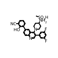 CS(=O)(=O)O.N#Cc1cccc(-c2ccc3ncc(-c4cc(F)cc(F)c4)c(N4CCC(N)CC4)c3c2)c1O